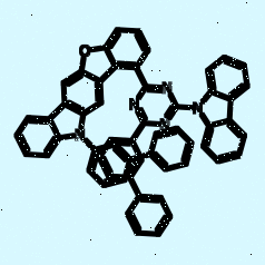 c1ccc(-c2cccc(-c3nc(-c4cccc5oc6cc7c8ccccc8n(-c8cccc(-c9ccccc9)c8)c7cc6c45)nc(-n4c5ccccc5c5ccccc54)n3)c2)cc1